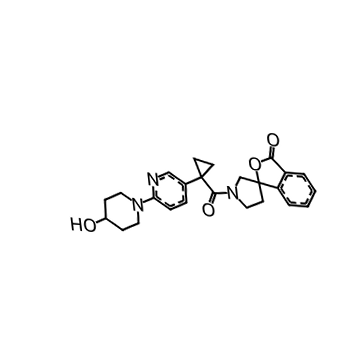 O=C1OC2(CCN(C(=O)C3(c4ccc(N5CCC(O)CC5)nc4)CC3)C2)c2ccccc21